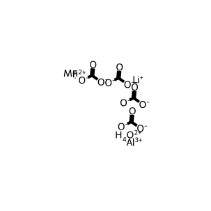 O=C([O-])[O-].O=C([O-])[O-].O=C([O-])[O-].O=C([O-])[O-].[Al+3].[F].[Li+].[Mn+2].[OH4+2]